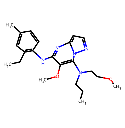 CCCN(CCOC)c1c(OC)c(Nc2ccc(C)cc2CC)nc2ccnn12